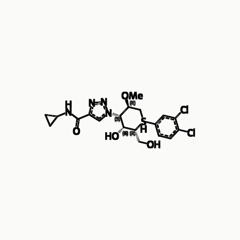 CO[C@H]1C[SH](c2ccc(Cl)c(Cl)c2)[C@H](CO)[C@H](O)[C@@H]1n1cc(C(=O)NC2CC2)nn1